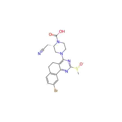 C[S+]([O-])c1nc2c(c(N3CCN(C(=O)O)[C@@H](CC#N)C3)n1)CCc1ccc(Br)cc1-2